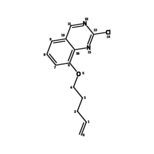 C=CCCCOc1cccc2cnc(Cl)nc12